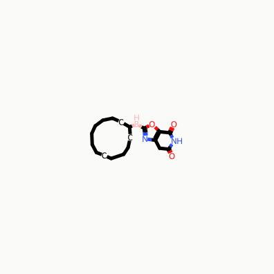 O=C1Cc2nc(BC3CCCCCCCCCCCC3)oc2C(=O)N1